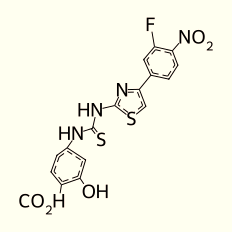 O=C(O)c1ccc(NC(=S)Nc2nc(-c3ccc([N+](=O)[O-])c(F)c3)cs2)cc1O